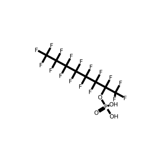 O=P(O)(O)OC(F)(C(F)(F)F)C(F)(F)C(F)(F)C(F)(F)C(F)(F)C(F)(F)C(F)(F)F